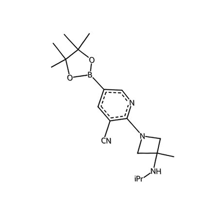 CC(C)NC1(C)CN(c2ncc(B3OC(C)(C)C(C)(C)O3)cc2C#N)C1